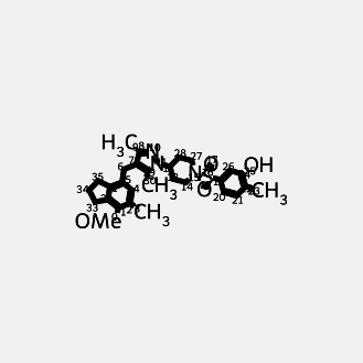 COc1c(C)cc(Cc2c(C)nn(C3CCN(S(=O)(=O)c4ccc(C)c(O)c4)CC3)c2C)c2c1CCC2